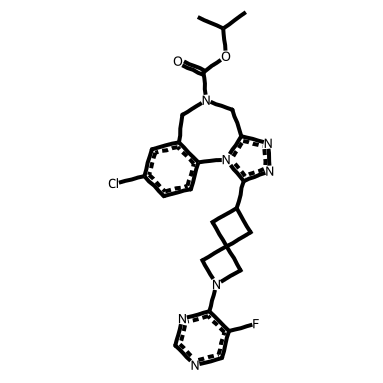 CC(C)OC(=O)N1Cc2cc(Cl)ccc2-n2c(nnc2C2CC3(C2)CN(c2ncncc2F)C3)C1